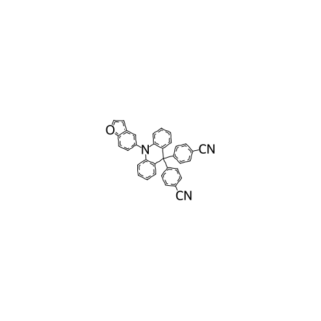 N#Cc1ccc(C2(c3ccc(C#N)cc3)c3ccccc3N(c3ccc4occc4c3)c3ccccc32)cc1